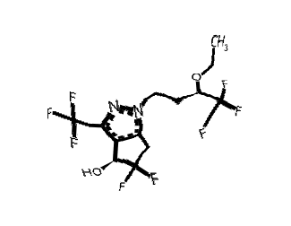 CCO[C@H](CCn1nc(C(F)(F)F)c2c1CC(F)(F)[C@H]2O)C(F)(F)F